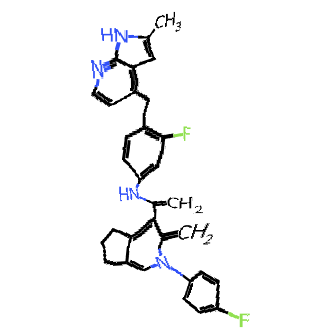 C=C(Nc1ccc(Cc2ccnc3[nH]c(C)cc23)c(F)c1)C1=C2CCCC2=CN(c2ccc(F)cc2)C1=C